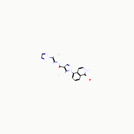 C/C(=C(/F)NC(=O)c1cnn(-c2cccc3c2C=CNC3=C=O)c1C(F)(F)F)n1nccn1